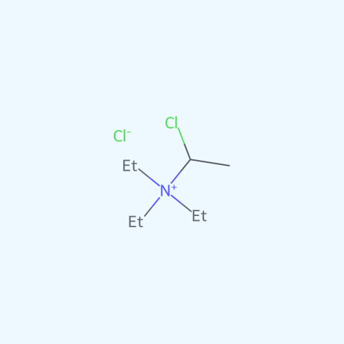 CC[N+](CC)(CC)C(C)Cl.[Cl-]